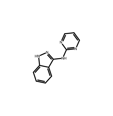 c1cnc(Nc2n[nH]c3ccccc23)nc1